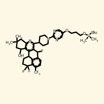 CC1(C)Cc2nc(C3CCN(c4ncc(OCCCO[Si](C)(C)C(C)(C)C)cn4)CC3)c(C(F)c3ccc(C(F)(F)F)cc3)c(C3CCC(F)(F)CC3)c2C(O)C1